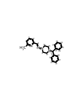 Cc1cccc(C=NN2CCN(C(c3ccccc3)c3ccccc3)CC2)n1